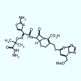 COCc1cc(SCC2=C(C(=O)O)N3C(=O)C(NC(=O)C(=NOC(C)(C)C(=O)NN)c4csc(N)n4)[C@@H]3SC2)nc2ncnn12